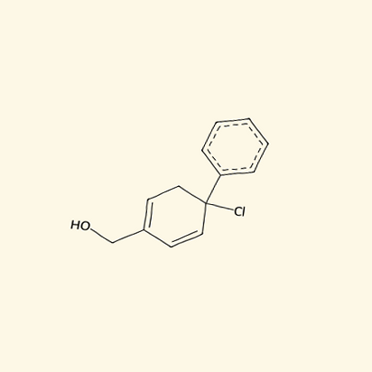 OCC1=CCC(Cl)(c2ccccc2)C=C1